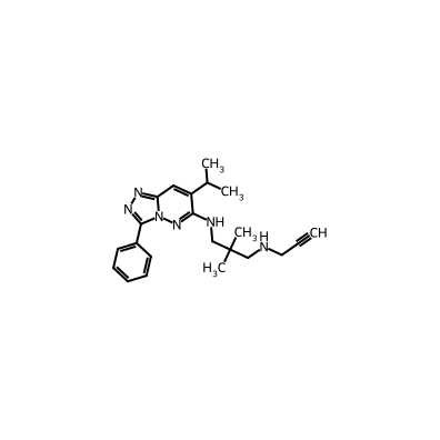 C#CCNCC(C)(C)CNc1nn2c(-c3ccccc3)nnc2cc1C(C)C